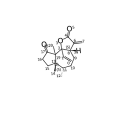 C=CC12OC(=O)C(=C)[C@@H]1CC[C@H](C)[C@]1(C)CCC(=O)C21C